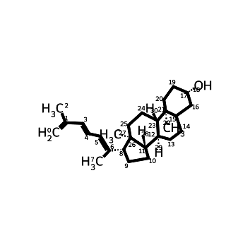 C=C(C)C=CC=C(C)[C@H]1CC[C@H]2[C@@H]3CCC4C[C@@H](O)CC[C@]4(C)[C@H]3CC[C@]12C